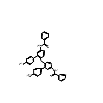 Oc1ccc(-c2cc(NC(=S)c3ccccc3)ccc2Sc2ccc(NC(=S)c3ccccc3)cc2-c2ccc(O)cc2)cc1